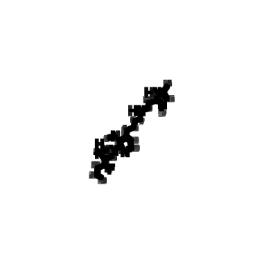 C=Nc1c(CCCCNCCC2NC(C)=CN2C)ccnc1NC/C(N)=C(F)/C=C\C